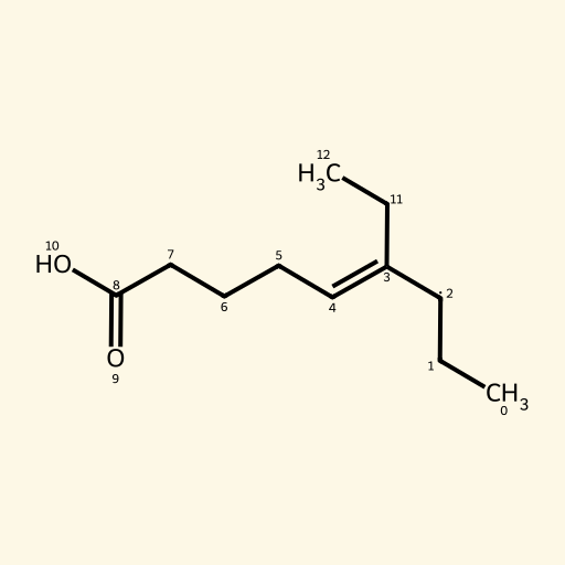 CC[CH]C(=CCCCC(=O)O)CC